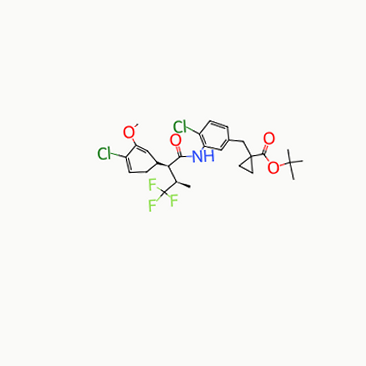 COC1=CC([C@@H](C(=O)Nc2cc(CC3(C(=O)OC(C)(C)C)CC3)ccc2Cl)[C@@H](C)C(F)(F)F)CC=C1Cl